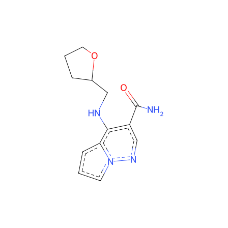 NC(=O)c1cnn2cccc2c1NCC1CCCO1